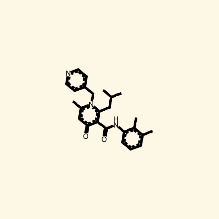 Cc1cccc(NC(=O)c2c(CC(C)C)n(Cc3ccncc3)c(C)cc2=O)c1C